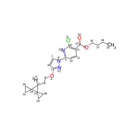 [2H]C1(CCOc2ccn(-c3ccc(C(=O)OCCCC)c(Cl)n3)n2)C2(CC2)C12CC2